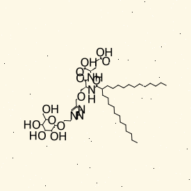 CCCCCCCCCCCCC(CCCCCCCCCCCC)C(=O)N[C@@H](COCc1cn(CCOC2OC(CO)C(O)C(O)C2O)nn1)C(=O)N[C@H](CCC(=O)O)C(=O)O